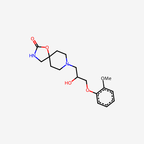 COc1ccccc1OCC(O)CN1CCC2(CC1)CNC(=O)O2